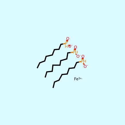 CCCCCCCC[PH](=O)[O-].CCCCCCCC[PH](=O)[O-].CCCCCCCC[PH](=O)[O-].[Fe+3]